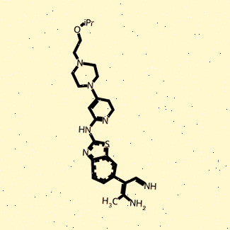 C/C(N)=C(/C=N)c1ccc2nc(NC3=NCCC(N4CCN(CCOC(C)C)CC4)=C3)sc2c1